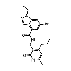 CCCc1cc(C)[nH]c(=O)c1CNC(=O)c1cc(Br)cc2c1cnn2CC